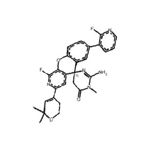 CN1C(=O)C[C@]2(N=C1N)c1cc(-c3cccnc3F)ccc1Oc1c2cc(C2=CC(C)(C)OCC2)nc1F